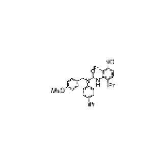 COc1ccc(CN(C(=O)Nc2c(C(C)C)ccc(N=O)c2C(C)C)c2ccc(C(C)C)cc2)cc1